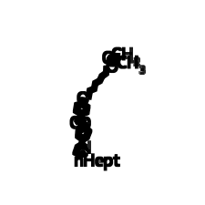 C=C(C)C(=O)OCCCCCCCCOc1ccc(C(=O)Oc2ccc(-c3ccc(CCCCCCC)cn3)cc2)cc1